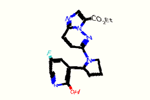 CCOC(=O)c1cnc2ccc(N3CCCC3c3cc(F)cnc3O)nn12